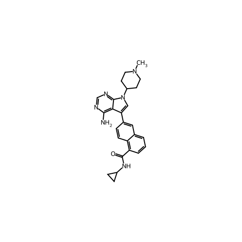 CN1CCC(n2cc(-c3ccc4c(C(=O)NC5CC5)cccc4c3)c3c(N)ncnc32)CC1